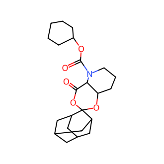 O=C1OC2(OC3CCCN(C(=O)OC4CCCCC4)C13)C1CC3CC(C1)CC2C3